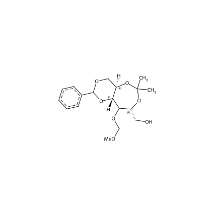 COCOC1[C@@H](CO)OC(C)(C)O[C@@H]2COC(c3ccccc3)O[C@@H]12